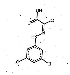 O=C(O)/C(Cl)=N\Nc1cc(Cl)cc(Cl)c1